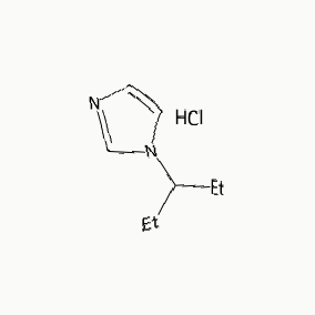 CCC(CC)n1ccnc1.Cl